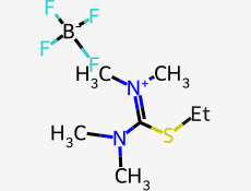 CCSC(N(C)C)=[N+](C)C.F[B-](F)(F)F